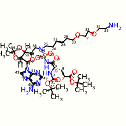 CC(C)(C)OC(=O)CC[C@H](NC(=O)OC(C)(C)C)C(=O)NS(=O)(=O)N(CCCCCCOCCOCCN)C[C@H]1O[C@@H](n2cnc3c(N)ncnc32)[C@@H]2OC(C)(C)O[C@@H]21